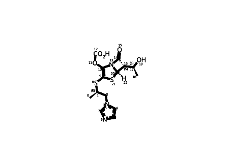 C[C@H](Cn1ccnc1)SC1=C(OC(=O)O)N2C(=O)[C@H]([C@H](C)O)[C@H]2S1